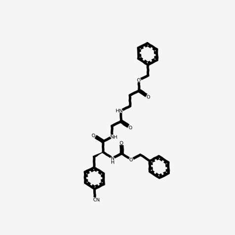 N#Cc1ccc(C[C@H](NC(=O)OCc2ccccc2)C(=O)NCC(=O)NCCC(=O)OCc2ccccc2)cc1